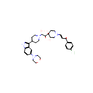 O=C(C=CN1CCC(O)(C(O)CN2CCC(c3c[nH]c4ccc(N5CCOCC5)cc34)CC2)CC1)c1ccc(Cl)cc1